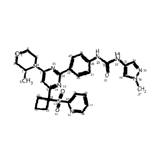 C[C@H]1COCCN1c1cc(C2(S(=O)(=O)c3ccccn3)CCC2)nc(-c2ccc(NC(=O)Nc3cnn(C)c3)cc2)n1